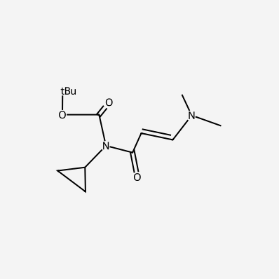 CN(C)C=CC(=O)N(C(=O)OC(C)(C)C)C1CC1